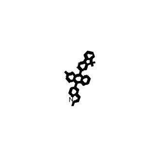 Cc1ccc2c(-c3ccc4nc(C)ccc4c3)c3ccccc3c(-c3ccc4c(c3)C(C)(C)c3ccccc3-4)c2c1